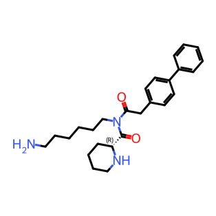 NCCCCCCN(C(=O)Cc1ccc(-c2ccccc2)cc1)C(=O)[C@H]1CCCCN1